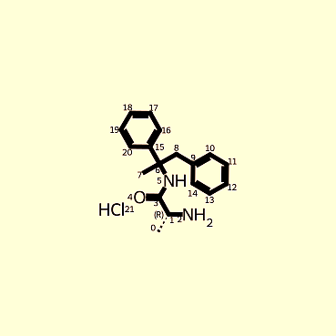 C[C@@H](N)C(=O)NC(C)(Cc1ccccc1)c1ccccc1.Cl